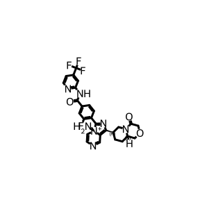 N[N+]12C=CN=CC1=C([C@@H]1CC[C@H]3COCC(=O)N3C1)N=C2c1ccc(C(=O)Nc2cc(C(F)(F)F)ccn2)cc1F